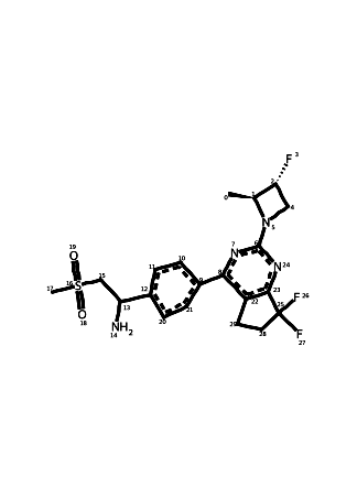 C[C@H]1[C@H](F)CN1c1nc(-c2ccc(C(N)CS(C)(=O)=O)cc2)c2c(n1)C(F)(F)CC2